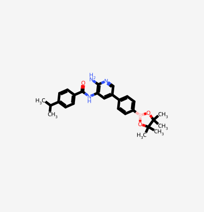 CC(C)c1ccc(C(=O)Nc2cc(-c3ccc(B4OC(C)(C)C(C)(C)O4)cc3)cnc2N)cc1